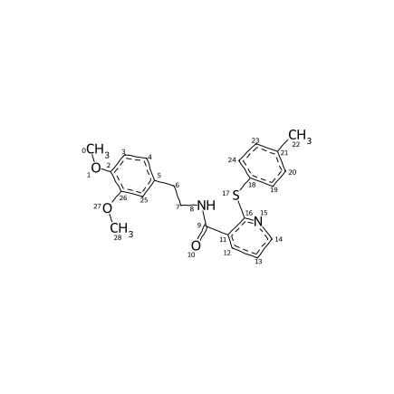 COc1ccc(CCNC(=O)c2cccnc2Sc2ccc(C)cc2)cc1OC